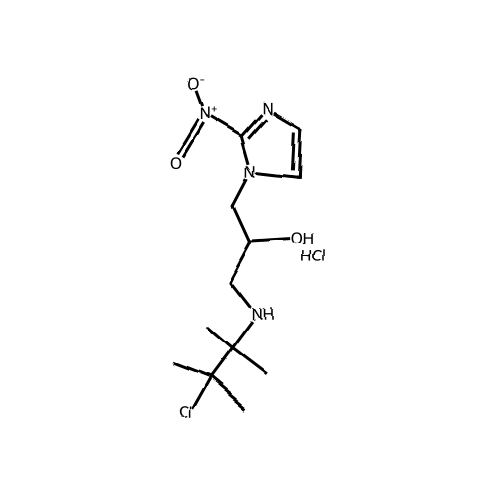 CC(C)(Cl)C(C)(C)NCC(O)Cn1ccnc1[N+](=O)[O-].Cl